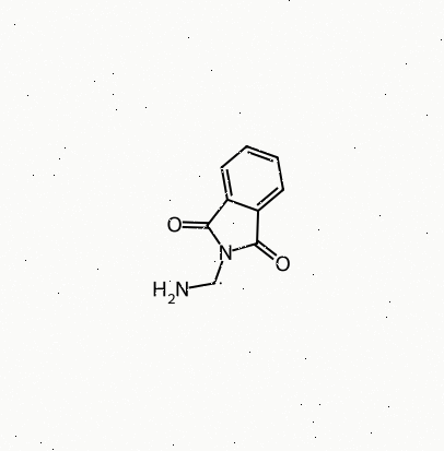 N[CH]N1C(=O)c2ccccc2C1=O